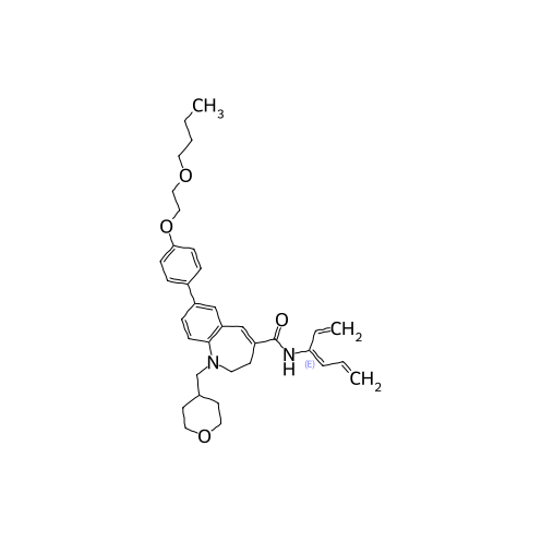 C=C/C=C(\C=C)NC(=O)C1=Cc2cc(-c3ccc(OCCOCCCC)cc3)ccc2N(CC2CCOCC2)CC1